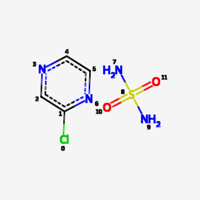 Clc1cnccn1.NS(N)(=O)=O